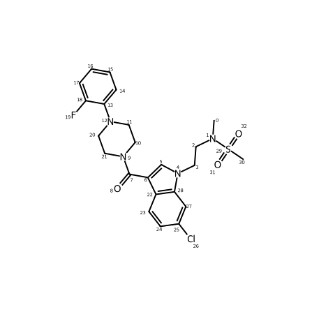 CN(CCn1cc(C(=O)N2CCN(c3ccccc3F)CC2)c2ccc(Cl)cc21)S(C)(=O)=O